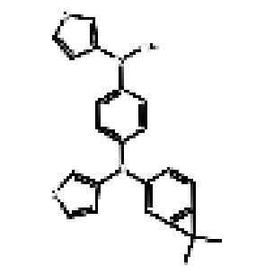 CC1(C)c2ccc(N(c3ccc(N(c4ccsc4)C(C)(C)C)cc3)c3ccsc3)cc21